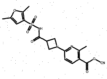 Cc1cc(S(=O)(=O)NC(=O)C2CN(c3ccc(C(=O)OC#N)c(C)n3)C2)c(C)o1